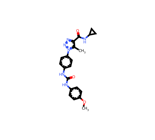 COc1ccc(NC(=O)Nc2ccc(-n3nnc(C(=O)NC4CC4)c3C)cc2)cc1